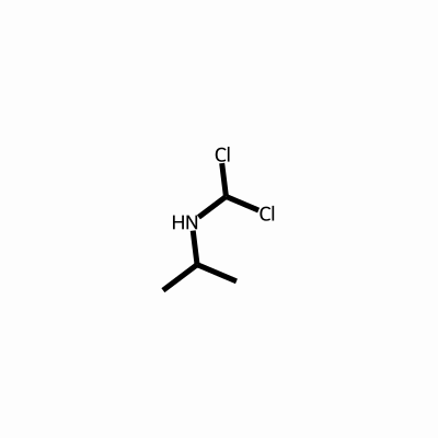 CC(C)NC(Cl)Cl